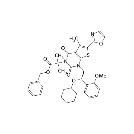 COc1ccccc1[C@H](Cn1c(=O)n(C(C)(C)C(=O)OCc2ccccc2)c(=O)c2c(C)c(-c3ncco3)sc21)OC1CCCCC1